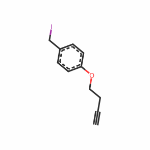 C#CCCOc1ccc(CI)cc1